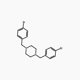 Brc1ccc(CN2CCN(Cc3ccc(Br)cc3)CC2)cc1